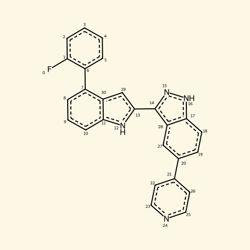 Fc1ccccc1-c1cccc2[nH]c(-c3n[nH]c4ccc(-c5ccncc5)cc34)cc12